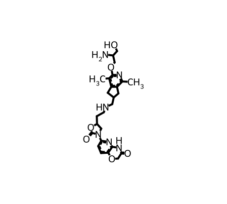 Cc1nc(OCC(N)CO)c(C)c2c1CC(CNCCC1CN(c3ccc4c(n3)NC(=O)CO4)C(=O)O1)C2